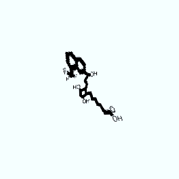 O=C(O)CCCCCCC1C(CCC(O)c2ccc3cccc(C(F)(F)F)c3c2)[C@H](O)C[C@@H]1O